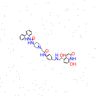 O=C(CCN1CCC(NC(=O)Nc2ccccc2-c2ccccc2)CC1)Nc1ccc(CNCC(O)c2ccc(O)c3[nH]c(=O)ccc23)cc1